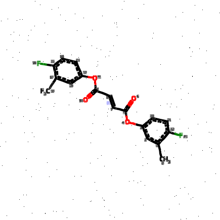 Cc1cc(OC(=O)/C=C/C(=O)Oc2ccc(F)c(C(F)(F)F)c2)ccc1F